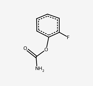 NC(=O)Oc1ccccc1F